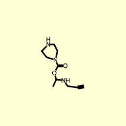 C#CCNC(C)OC(=O)N1CCNCC1